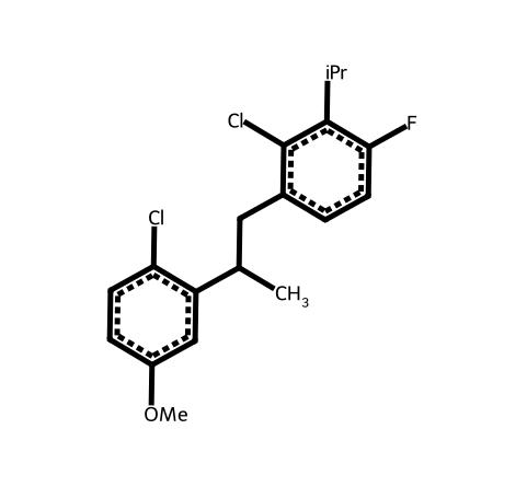 COc1ccc(Cl)c(C(C)Cc2ccc(F)c(C(C)C)c2Cl)c1